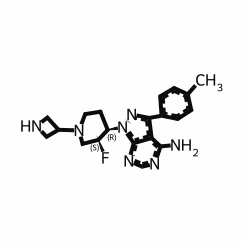 Cc1ccc(-c2nn([C@@H]3CCN(C4CNC4)C[C@@H]3F)c3ncnc(N)c23)cc1